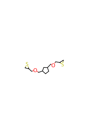 C1CC(COCC2CS2)CC1COCC1CS1